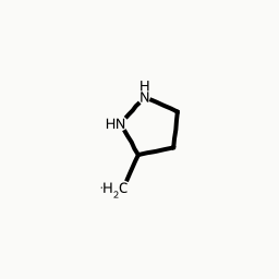 [CH2]C1CCNN1